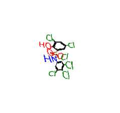 O=S(=O)(Nc1cc(Cl)c(Cl)c(Cl)c1Cl)c1cc(Cl)cc(Cl)c1O